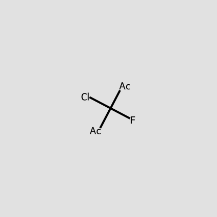 CC(=O)C(F)(Cl)C(C)=O